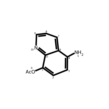 CC(=O)Oc1ccc(N)c2cccnc12